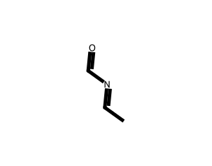 C/C=N/C=O